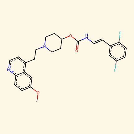 COc1ccc2nccc(CCN3CCC(OC(=O)NC=Cc4cc(F)ccc4F)CC3)c2c1